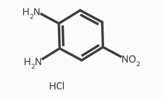 Cl.Nc1ccc([N+](=O)[O-])cc1N